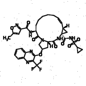 Cc1cc(C(=O)N[C@H]2CCCCCC=C[C@@H]3C[C@@]3(C(=O)NS(=O)(=O)C3CC3)NC(=O)[C@@H]3C[C@@H](Oc4nc5ccccc5nc4C(F)(F)F)CN3C2=O)no1